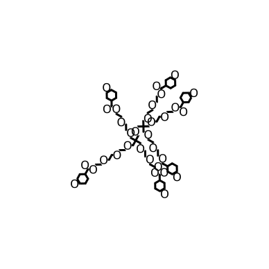 O=C(OCCOCCOCCOCC(COCCOCCOC(=O)C1CCC2OC2C1)(COCCOCCOC(=O)C1CCC2OC2C1)COCC(COCCOCCOC(=O)C1CCC2OC2C1)(COCCOCCOC(=O)C1CCC2OC2C1)COCCOCCOC(=O)C1CCC2OC2C1)C1CCC2OC2C1